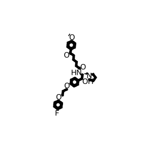 COc1ccc(C(=O)CCCCC(=O)N[C@H](CN2CCCC2)[C@H](O)c2ccc(OCCCOc3ccc(F)cc3)cc2)cc1